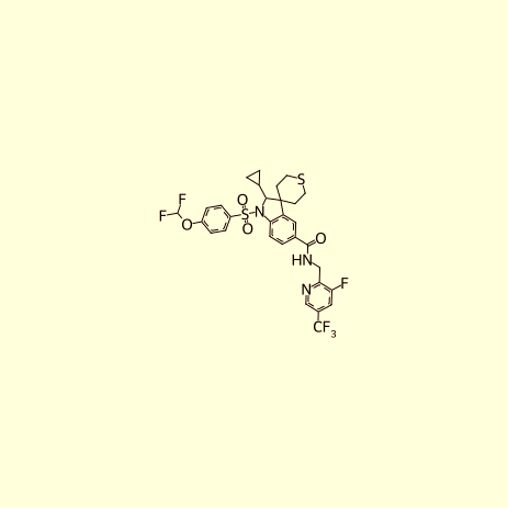 O=C(NCc1ncc(C(F)(F)F)cc1F)c1ccc2c(c1)C1(CCSCC1)C(C1CC1)N2S(=O)(=O)c1ccc(OC(F)F)cc1